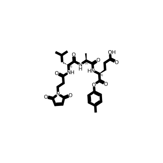 Cc1ccc(OC(=O)[C@H](CCC(=O)O)NC(=O)[C@H](C)NC(=O)[C@@H](CC(C)C)NC(=O)CCN2C(=O)C=CC2=O)cc1